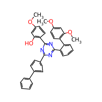 COc1ccc(-c2nc(-c3ccc(-c4ccccc4)cc3)nc(-c3ccccc3-c3ccc(OC)cc3OC)n2)c(O)c1